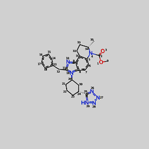 COC(=O)N1c2ccc3c(nc(Cc4ccccc4)n3[C@@H]3CCC[C@@H](c4nnn[nH]4)C3)c2CC[C@@H]1C